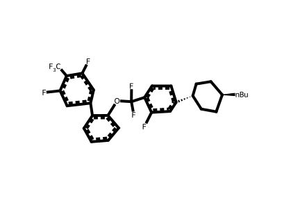 CCCC[C@H]1CC[C@H](c2ccc(C(F)(F)Oc3ccccc3-c3cc(F)c(C(F)(F)F)c(F)c3)c(F)c2)CC1